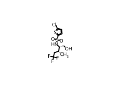 C[C@H](CC(F)(F)F)[C@@H](CO)NS(=O)(=O)c1ccc(Cl)s1